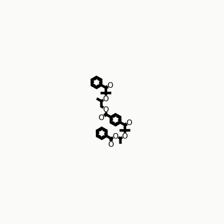 CC(COC(=O)c1ccc(C(=O)C(C)(C)OC(C)OC(=O)c2ccccc2)cc1)OC(C)(C)C(=O)c1ccccc1